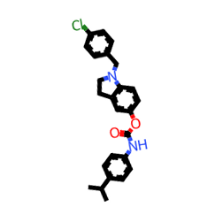 CC(C)c1ccc(NC(=O)Oc2ccc3c(c2)CCN3Cc2ccc(Cl)cc2)cc1